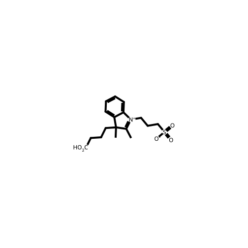 CC1=[N+](CCCS(=O)(=O)[O-])c2ccccc2C1(C)CCCC(=O)O